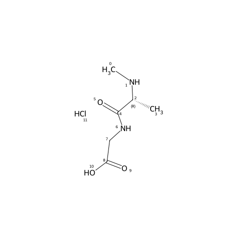 CN[C@H](C)C(=O)NCC(=O)O.Cl